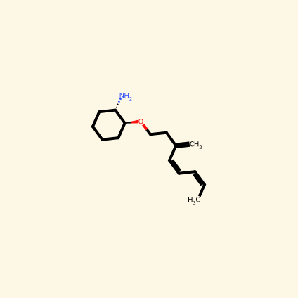 C=C(/C=C\C=C/C)CCO[C@H]1CCCC[C@@H]1N